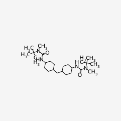 CN(C(=O)NC1CCC(CC2CCC(NC(=O)N(C)C(C)(C)C)CC2)CC1)C(C)(C)C